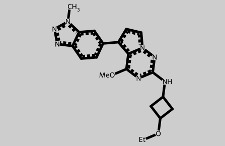 CCOC1CC(Nc2nc(OC)c3c(-c4ccc5nnn(C)c5c4)ccn3n2)C1